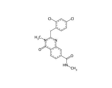 CNC(=O)c1ccc2c(=O)n(C)c(Cc3ccc(Cl)cc3Cl)nc2c1